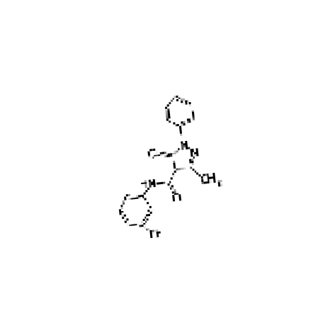 CCc1cccc(NC(=O)C2C(=O)N(c3ccccc3)N=C2C)c1